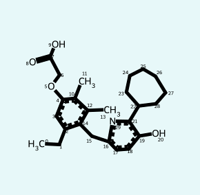 CCc1cc(OCC(=O)O)c(C)c(C)c1Cc1ccc(O)c(C2CCCCCC2)n1